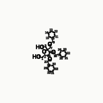 OC[C@H]1O[C@](CO)(COCc2ccccc2)[C@@H](OCc2ccccc2)[C@@H]1OCc1ccccc1